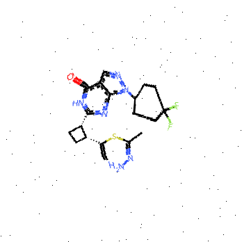 C=C(S/C(C)=N\N)[C@@H]1CC[C@@H]1c1nc2c(cnn2C2CCC(F)(F)CC2)c(=O)[nH]1